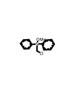 CO[Si](CCl)(c1ccccc1)c1ccccc1